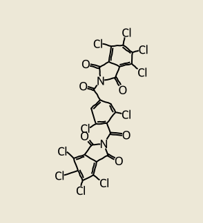 O=C(c1cc(Cl)c(C(=O)N2C(=O)c3c(Cl)c(Cl)c(Cl)c(Cl)c3C2=O)c(Cl)c1)N1C(=O)c2c(Cl)c(Cl)c(Cl)c(Cl)c2C1=O